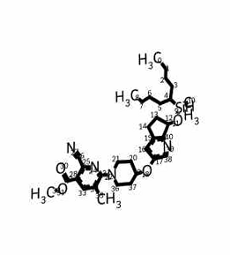 CCCCC(CCCC)[SiH](C)OC1CCc2cc(OC3CCN(c4nc(C#N)c(C(=O)OC)cc4C)CC3)cnc21